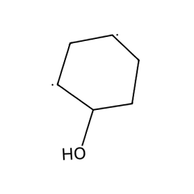 OC1[CH]C[CH]CC1